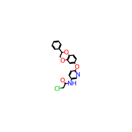 O=C(CCl)Nc1ccc(Oc2ccc3c(c2)OCC(c2ccccc2)O3)nc1